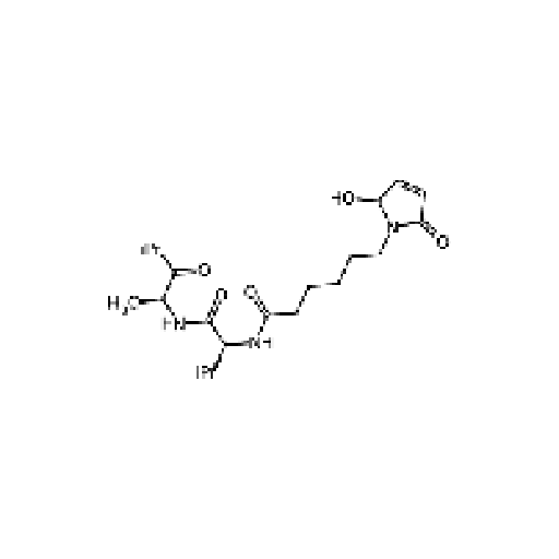 CC(C)C(=O)[C@H](C)NC(=O)[C@@H](NC(=O)CCCCCN1C(=O)C=CC1O)C(C)C